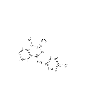 CC(=O)N1c2ccncc2[C@@H](Nc2ccc(Cl)cc2)C[C@H]1C